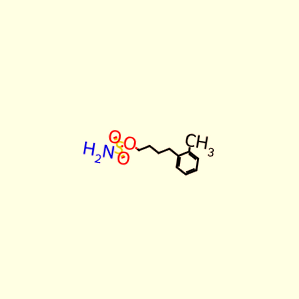 Cc1ccccc1CCCCOS(N)(=O)=O